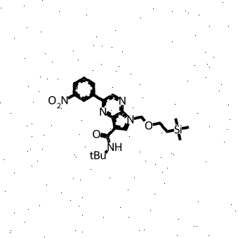 CC(C)(C)NC(=O)c1cn(COCC[Si](C)(C)C)c2ncc(-c3cccc([N+](=O)[O-])c3)nc12